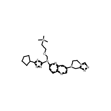 C[Si](C)(C)CCOCN(c1ccc2ncc(N3CCn4cnnc4C3)cc2n1)c1nnc(C2CCCC2)s1